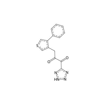 O=C(Cc1cscc1-c1ccccc1)C(=O)c1nn[nH]n1